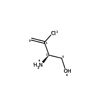 C=C(Cl)[C@H](N)CO